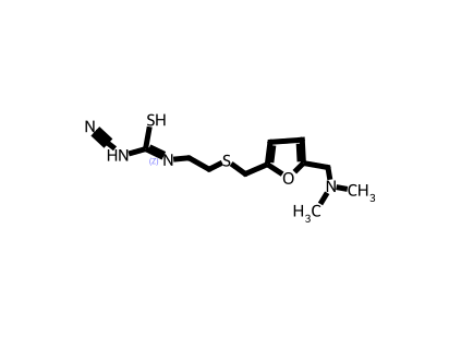 CN(C)Cc1ccc(CSCC/N=C(\S)NC#N)o1